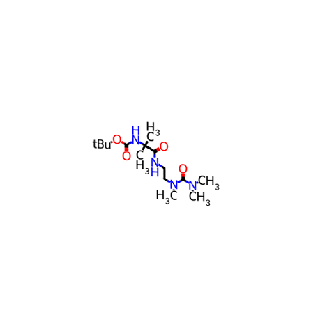 CN(C)C(=O)N(C)CCNC(=O)C(C)(C)NC(=O)OC(C)(C)C